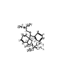 CCCC[Si](C)(C)OCC1(C(CCN(C(C)C)C(C)C)c2ccccc2)C=CC=CC1O